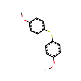 N#COc1ccc(Sc2ccc(OC#N)cc2)cc1